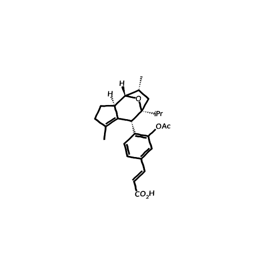 CC(=O)Oc1cc(C=CC(=O)O)ccc1[C@@H]1C2=C(C)CC[C@H]2[C@H]2O[C@@]1(C(C)C)C[C@H]2C